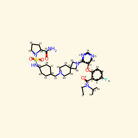 CCN(C(=O)c1cc(F)ccc1Oc1cncnc1N1CC2(CCN(CC3CCC(NS(=O)(=O)N4CCCC4C(N)=O)CC3)CC2)C1)C(C)C